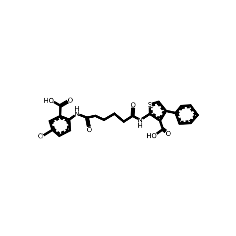 O=C(CCCCC(=O)Nc1scc(-c2ccccc2)c1C(=O)O)Nc1ccc(Cl)cc1C(=O)O